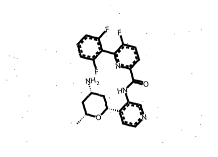 C[C@@H]1C[C@H](N)C[C@H](c2ccncc2NC(=O)c2ccc(F)c(-c3c(F)cccc3F)n2)O1